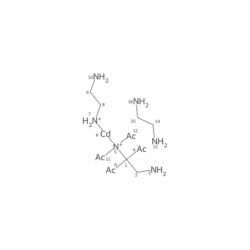 CC(=O)C(CN)(C(C)=O)[N+]([Cd][NH2+]CCN)(C(C)=O)C(C)=O.NCCN